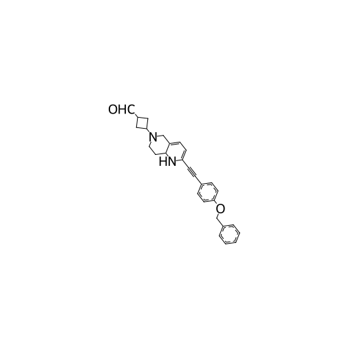 O=CC1CC(N2CCC3NC(C#Cc4ccc(OCc5ccccc5)cc4)=CC=C3C2)C1